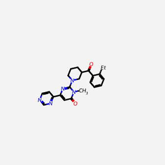 CCc1ccccc1C(=O)C1CCCN(c2nc(-c3ccncn3)cc(=O)n2C)C1